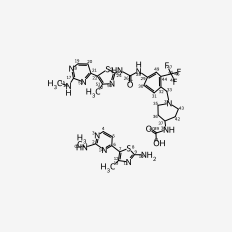 CNc1nccc(-c2sc(N)nc2C)n1.CNc1nccc(-c2sc(NC(=O)Nc3ccc(CN4CCC(NC(=O)O)CC4)c(C(F)(F)F)c3)nc2C)n1